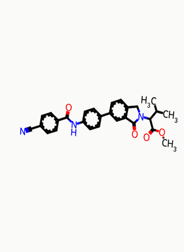 COC(=O)C(C(C)C)N1Cc2ccc(-c3ccc(NC(=O)c4ccc(C#N)cc4)cc3)cc2C1=O